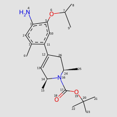 Cc1cc(N)c(OC(C)C)cc1C1=C[C@H](C)N(C(=O)OC(C)(C)C)[C@H](C)C1